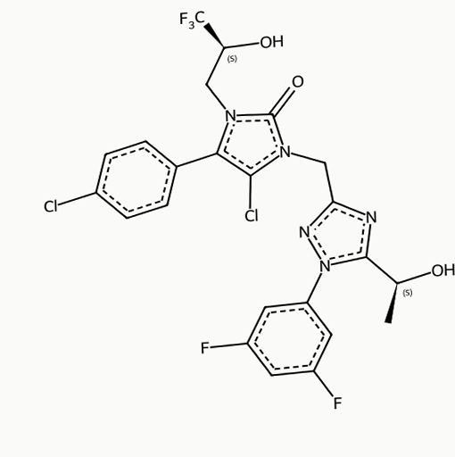 C[C@H](O)c1nc(Cn2c(Cl)c(-c3ccc(Cl)cc3)n(C[C@H](O)C(F)(F)F)c2=O)nn1-c1cc(F)cc(F)c1